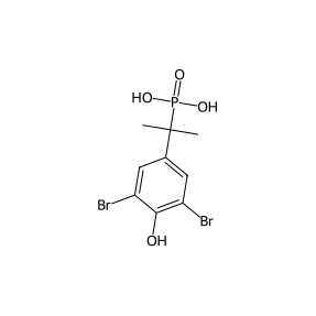 CC(C)(c1cc(Br)c(O)c(Br)c1)P(=O)(O)O